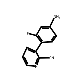 N#Cc1ncccc1-c1ccc(N)cc1F